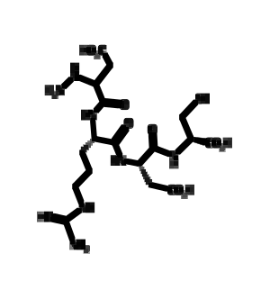 N=C(N)NCCC[C@H](NC(=O)C(CC(=O)O)NN)C(=O)N[C@@H](CC(=O)O)C(=O)N[C@@H](CS)C(=O)O